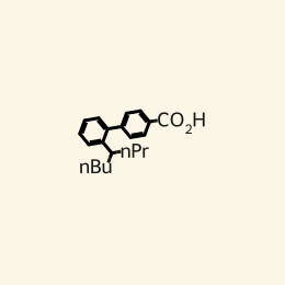 CCCCC(CCC)c1ccccc1-c1ccc(C(=O)O)cc1